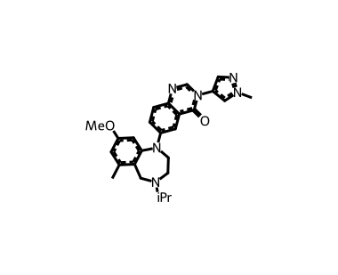 COc1cc(C)c2c(c1)N(c1ccc3ncn(-c4cnn(C)c4)c(=O)c3c1)CCN(C(C)C)C2